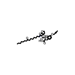 CC#CCOc1ccc(C[C@H](NC(=O)[C@@H](/C=C/CCCCCCC(=O)CCCCCCC)[C@@]2(O)CCOC2=O)C(=O)O)cc1